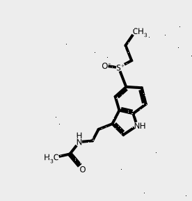 CCC[S+]([O-])c1ccc2[nH]cc(CCNC(C)=O)c2c1